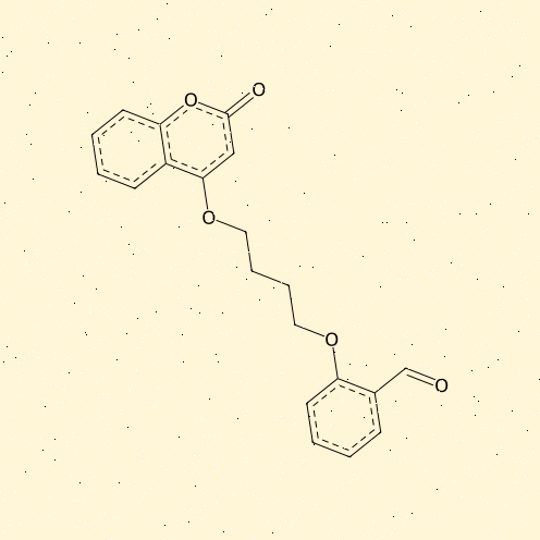 O=Cc1ccccc1OCCCCOc1cc(=O)oc2ccccc12